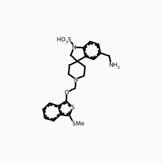 CSc1sc(OCN2CCC3(CC2)CN(S(=O)(=O)O)c2ccc(CN)cc23)c2ccccc12